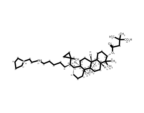 CC(C)(CC(=O)O[C@H]1CC[C@]2(C)[C@H]3CC[C@@H]4[C@@H]([C@@H](CCCCCNCCN5CCCC5)C5(C)CC5)CCC[C@@]4(C)[C@]3(C)CC[C@H]2C1(C)C)C(=O)O